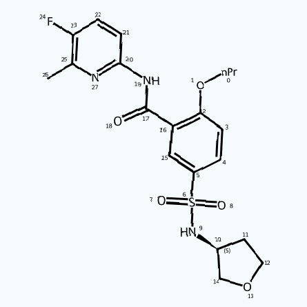 CCCOc1ccc(S(=O)(=O)N[C@H]2CCOC2)cc1C(=O)Nc1ccc(F)c(C)n1